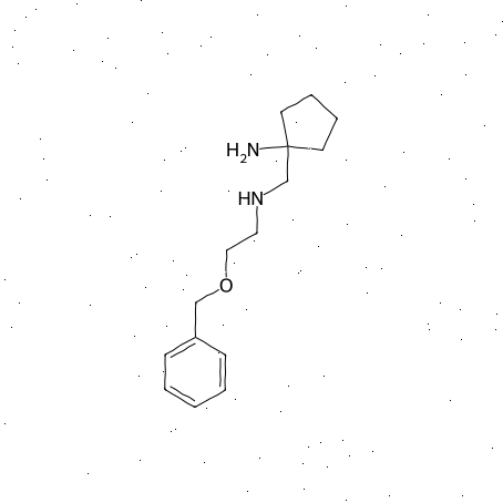 NC1(CNCCOCc2ccccc2)CCCC1